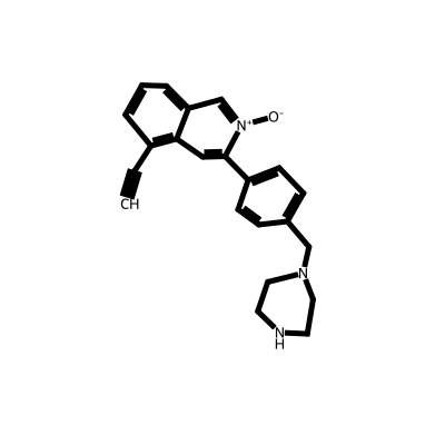 C#Cc1cccc2c[n+]([O-])c(-c3ccc(CN4CCNCC4)cc3)cc12